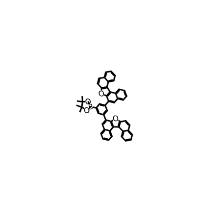 CC1(C)OB(c2cc(-c3cc4ccccc4c4c3oc3ccc5ccccc5c34)cc(-c3cc4ccccc4c4c3oc3ccc5ccccc5c34)c2)OC1(C)C